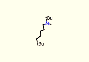 CN(CCCCCC(C)(C)C)C(C)(C)C